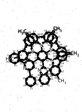 Cc1ccc2c(c1)c1cc(C)ccc1n2-c1c(-c2cc(-c3ccccc3)nc(-c3ccccc3)c2)c(-c2nc3ccccc3o2)c(-n2c3ccc(C)cc3c3cc(C)ccc32)c(-n2c3ccc(C)cc3c3cc(C)ccc32)c1-n1c2ccc(C)cc2c2cc(C)ccc21